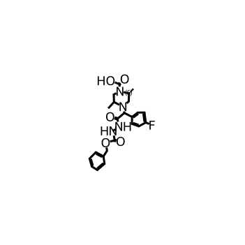 CC1CN(C(=O)O)[C@@H](C)CN1C(C(=O)NNC(=O)OCc1ccccc1)c1ccc(F)cc1